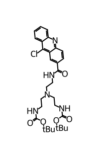 CC(C)(C)OC(=O)NCCN(CCNC(=O)OC(C)(C)C)CCNC(=O)c1ccc2nc3ccccc3c(Cl)c2c1